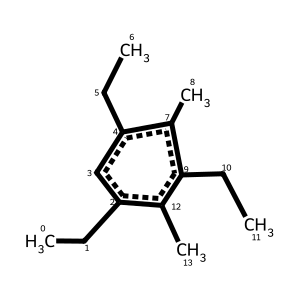 CCc1cc(CC)c(C)c(CC)c1C